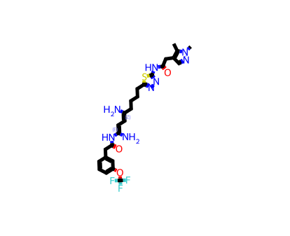 Cc1c(CC(=O)Nc2nnc(CCCC/C(N)=C/C=C(\N)NC(=O)Cc3cccc(OC(F)(F)F)c3)s2)cnn1C